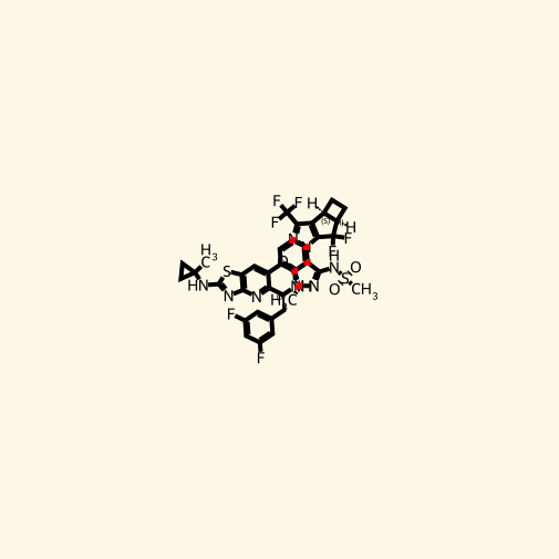 Cn1nc(NS(C)(=O)=O)c2cccc(-c3cc4sc(NC5(C)CC5)nc4nc3[C@H](Cc3cc(F)cc(F)c3)NC(=O)Cn3nc(C(F)(F)F)c4c3C(F)(F)[C@@H]3CC[C@H]43)c21